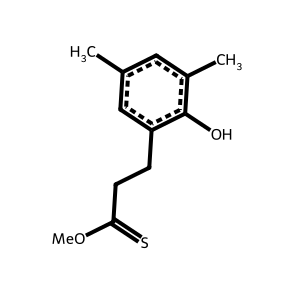 COC(=S)CCc1cc(C)cc(C)c1O